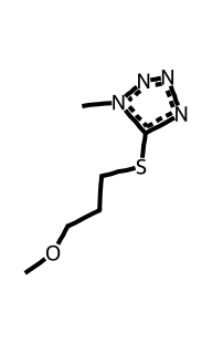 COCCCSc1nnnn1C